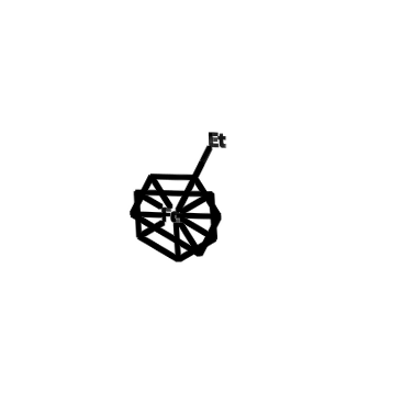 CC[C]12[CH]3[CH]4[CH]5[CH]1[Fe]45321678[CH]2[CH]1[CH]6[CH]7[CH]28